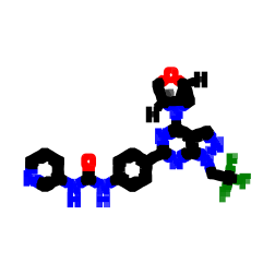 O=C(Nc1ccc(-c2nc(N3C[C@@H]4C[C@H]3CO4)c3cnn(CC(F)(F)F)c3n2)cc1)Nc1cccnc1